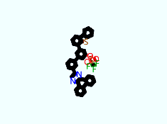 O=S(=O)(Oc1cc(-c2cccc(-c3cnc4c5ccccc5c5ccccc5c4n3)c2)cc(-c2cccc3c2sc2ccccc23)c1)C(F)(F)F